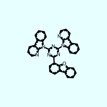 c1ccc2c(c1)oc1c(-c3nc(-n4c5ccccc5c5cccnc54)nc(-n4c5ccccc5c5cccnc54)n3)cccc12